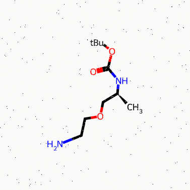 C[C@@H](COCCN)NC(=O)OC(C)(C)C